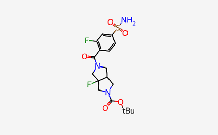 CC(C)(C)OC(=O)N1CC2CN(C(=O)c3ccc(S(N)(=O)=O)cc3F)CC2(F)C1